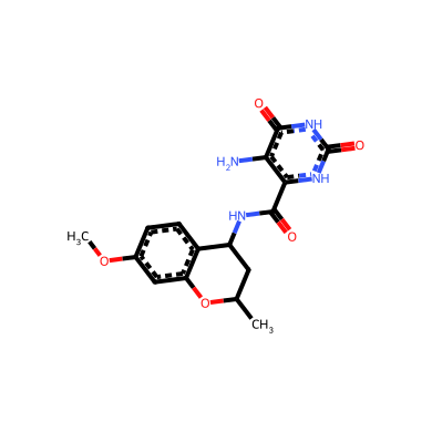 COc1ccc2c(c1)OC(C)CC2NC(=O)c1[nH]c(=O)[nH]c(=O)c1N